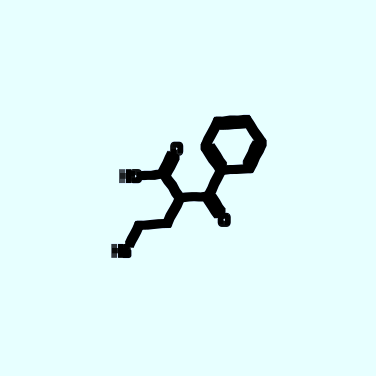 O=C(O)C(CCS)C(=O)c1ccccc1